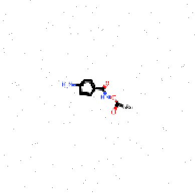 CCCCC(=O)ONC(=O)c1ccc(N)cc1